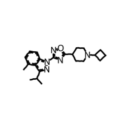 Cc1cccc2c1c(C(C)C)nn2-c1noc(C2CCN(C3CCC3)CC2)n1